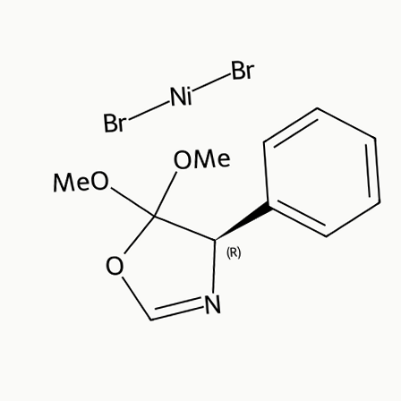 COC1(OC)OC=N[C@@H]1c1ccccc1.[Br][Ni][Br]